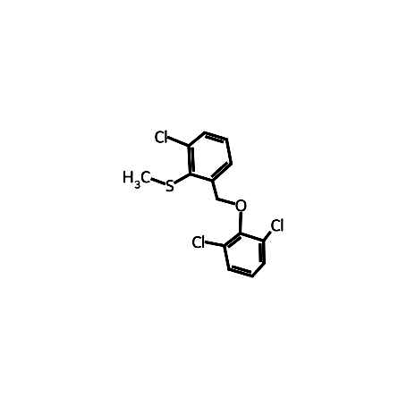 CSc1c(Cl)cccc1COc1c(Cl)cccc1Cl